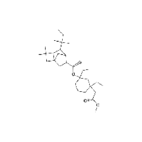 CCC1(CC(=O)OC)CCCC(CC)(OC(=O)C2CC34CC2C(C(C)(C)CC)C3C(C)(C)C4)C1